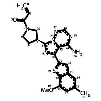 C=CC(=O)N1CC[C@H](c2nc(-c3cc4cc(C)cc(OC)c4s3)c3c(N)ncnn23)C1